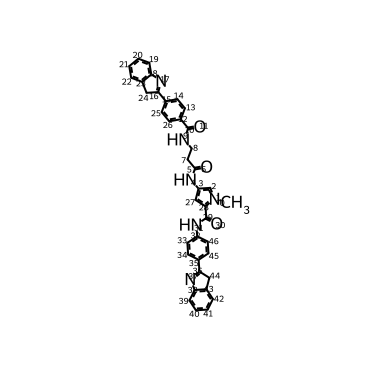 Cn1cc(NC(=O)CCNC(=O)c2ccc(C3=Nc4ccccc4C3)cc2)cc1C(=O)Nc1ccc(C2=Nc3ccccc3C2)cc1